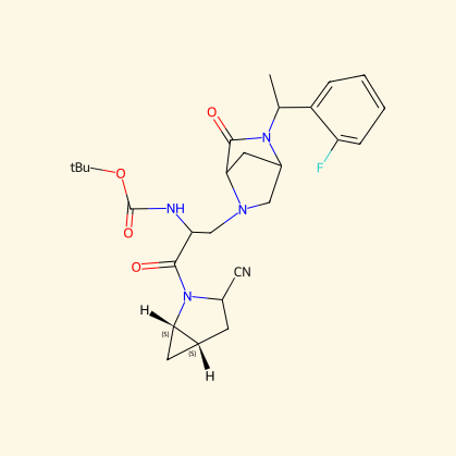 CC(c1ccccc1F)N1C(=O)C2CC1CN2CC(NC(=O)OC(C)(C)C)C(=O)N1C(C#N)C[C@@H]2C[C@@H]21